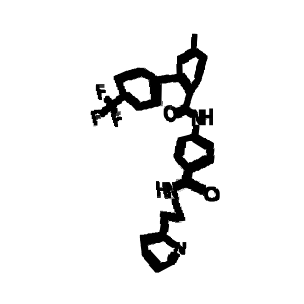 Cc1ccc(C(=O)Nc2ccc(C(=O)NCCc3ccccn3)cc2)c(-c2ccc(C(F)(F)F)cc2)c1